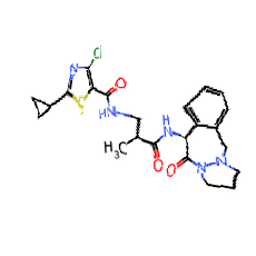 CC(CNC(=O)c1sc(C2CC2)nc1Cl)C(=O)N[C@@H]1C(=O)N2CCCN2Cc2ccccc21